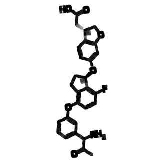 CC(=O)C(N)c1cccc(Oc2ccc(F)c3c2CC[C@H]3Oc2ccc3c(c2)OC[C@H]3CC(=O)O)c1